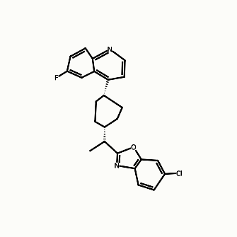 CC(c1nc2ccc(Cl)cc2o1)[C@H]1CC[C@@H](c2ccnc3ccc(F)cc32)CC1